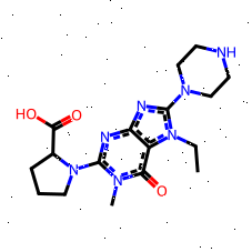 CCn1c(N2CCNCC2)nc2nc(N3CCCC3C(=O)O)n(C)c(=O)c21